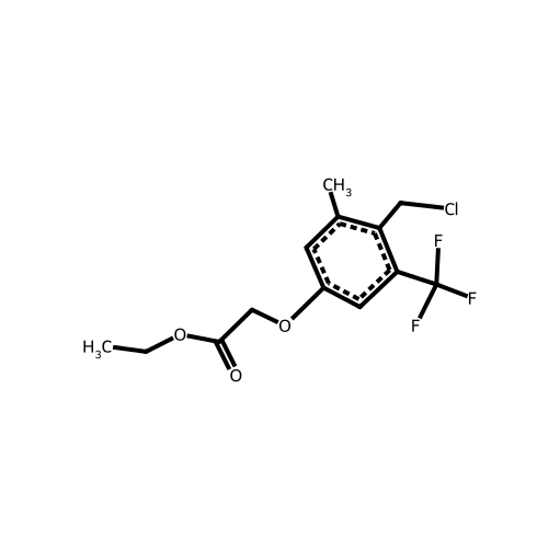 CCOC(=O)COc1cc(C)c(CCl)c(C(F)(F)F)c1